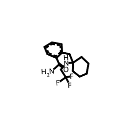 NC(=O)c1ccccc1CC1(NCC(F)(F)F)CCCCC1